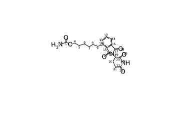 NC(=O)OCCCCCCc1cccc2c1C(=O)N(C1CCC(=O)NC1=O)C2=O